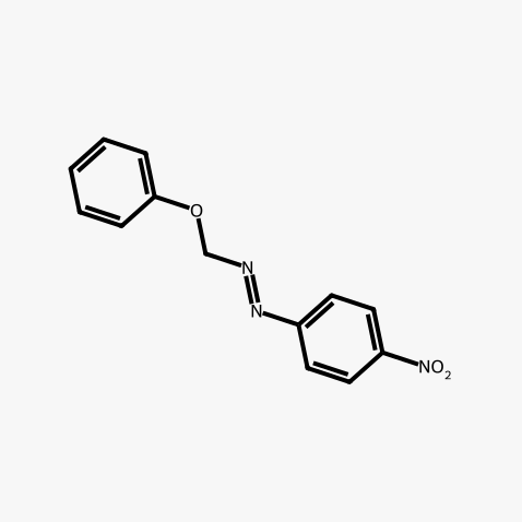 O=[N+]([O-])c1ccc(N=NCOc2ccccc2)cc1